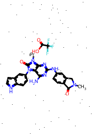 CC(C)n1c(=O)n(-c2ccc3[nH]ccc3c2)c2c(N)nc(Nc3ccc4c(c3)CN(C)C4=O)nc21.O=C(O)C(F)(F)F